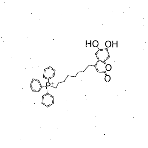 O=c1cc(CCCCCCCC[P+](c2ccccc2)(c2ccccc2)c2ccccc2)c2cc(O)c(O)cc2o1